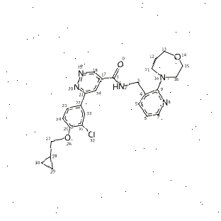 O=C(NCc1cccnc1N1CCCOCC1)c1cnnc(-c2ccc(OCC3CC3)c(Cl)c2)c1